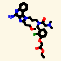 CCOC(=O)COc1cccc(CN(CCCn2c(CCOC)nc3c(N)nc4ccccc4c32)C(=O)CN(C)C)c1F